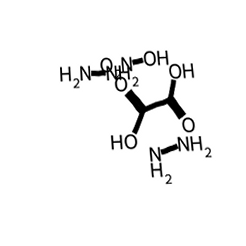 NN.NN.O=C(O)C(=O)O.O=[N+]([O-])O